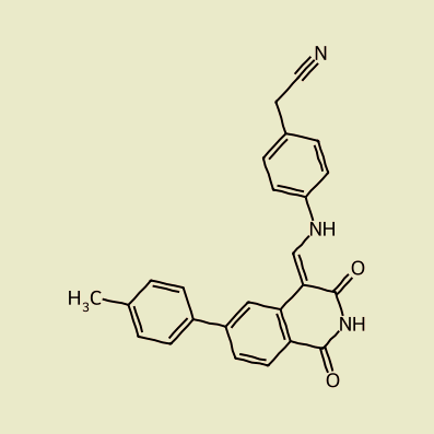 Cc1ccc(-c2ccc3c(c2)/C(=C/Nc2ccc(CC#N)cc2)C(=O)NC3=O)cc1